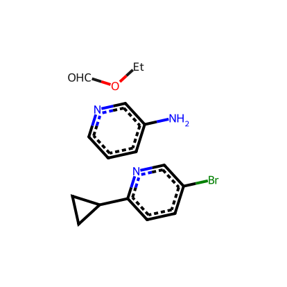 Brc1ccc(C2CC2)nc1.CCOC=O.Nc1cccnc1